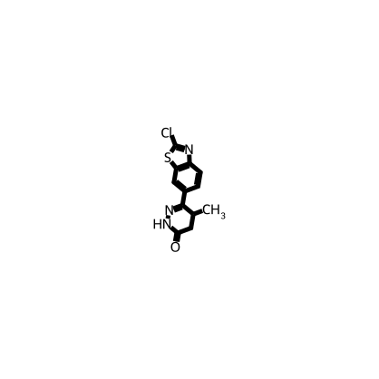 CC1CC(=O)NN=C1c1ccc2nc(Cl)sc2c1